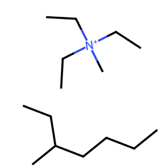 CCCCC(C)CC.CC[N+](C)(CC)CC